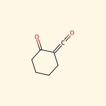 O=C=C1CCCCC1=O